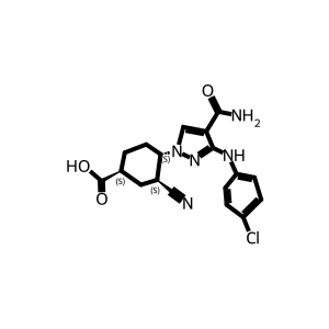 N#C[C@H]1C[C@@H](C(=O)O)CC[C@@H]1n1cc(C(N)=O)c(Nc2ccc(Cl)cc2)n1